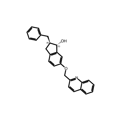 O[C@@H]1c2cc(OCc3ccc4ccccc4n3)ccc2C[C@H]1Cc1ccccc1